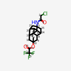 O=C(CCl)NC12CC3C4CC5(OC(=O)C(F)(F)F)CC3C(C1)C(C5)C4C2